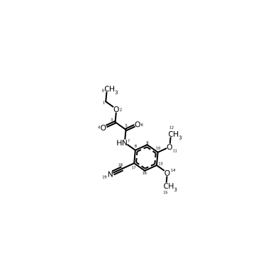 CCOC(=O)C(=O)Nc1cc(OC)c(OC)cc1C#N